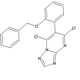 Clc1nc2ncnn2c(Cl)c1-c1ccccc1OCc1ccccc1